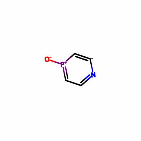 [O-][p+]1c[c]ncc1